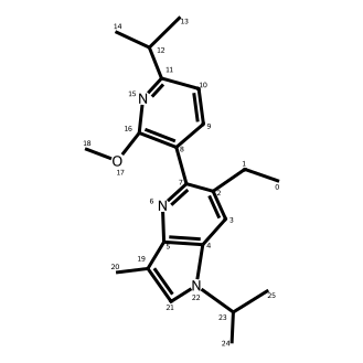 CCc1cc2c(nc1-c1ccc(C(C)C)nc1OC)c(C)cn2C(C)C